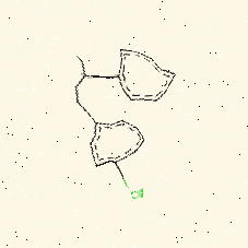 C[C](Cc1ccc(Cl)cc1)c1ccccc1